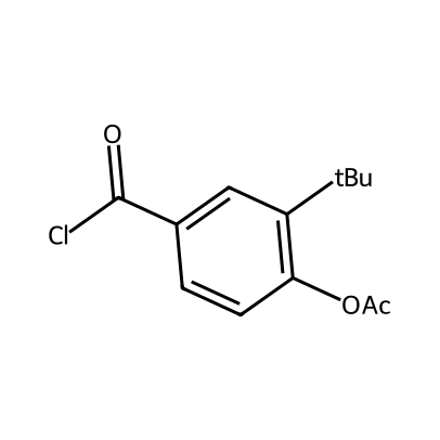 CC(=O)Oc1ccc(C(=O)Cl)cc1C(C)(C)C